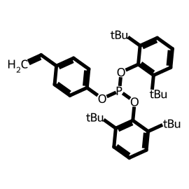 C=Cc1ccc(OP(Oc2c(C(C)(C)C)cccc2C(C)(C)C)Oc2c(C(C)(C)C)cccc2C(C)(C)C)cc1